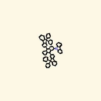 c1ccc(C2(c3ccccc3)c3ccccc3-c3ccc(-c4c5ccccc5c(-c5ccc6c(c5)C(c5ccccc5)(c5ccccc5)c5ccccc5-6)c5cc(-n6c7ccccc7c7ccccc76)ccc45)cc32)cc1